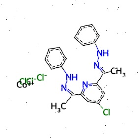 CC(=NNc1ccccc1)c1cc(Cl)cc(C(C)=NNc2ccccc2)n1.[Cl-].[Cl-].[Cl-].[Co+3]